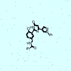 CC(C)C(=O)NCc1ccc(Cl)c(-c2nc(-c3cnn(C(C)C)c3)cc(=O)[nH]2)c1